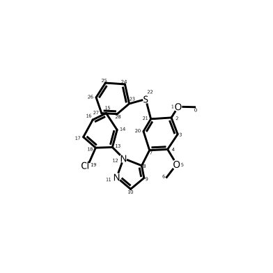 COc1cc(OC)c(-c2ccnn2-c2ccccc2Cl)cc1Sc1ccccc1